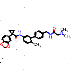 Cc1ccc(NC(=O)C2(c3ccc4c(c3)OCO4)CC2)cc1-c1ccc(CNC(=O)CN(C)C)cc1